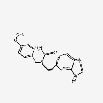 COc1ccc(CN(Cc2ccc3nc[nH]c3c2)C(N)=O)cc1